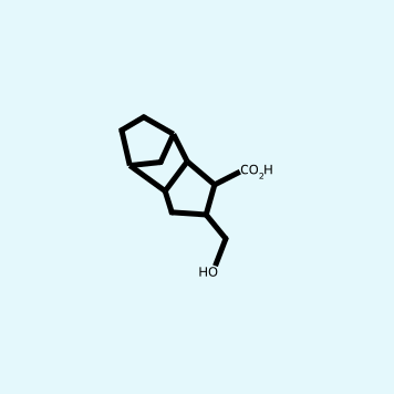 O=C(O)C1C(CO)CC2C3CCC(C3)C21